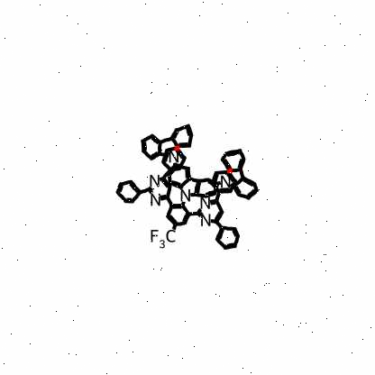 FC(F)(F)c1cc(-c2cc(-c3ccccc3)nc(-c3ccccc3)n2)c(-n2c3ccc(-n4c5ccccc5c5ccccc54)cc3c3cc(-n4c5ccccc5c5ccccc54)ccc32)c(-c2nc(-c3ccccc3)cc(-c3ccccc3)n2)c1